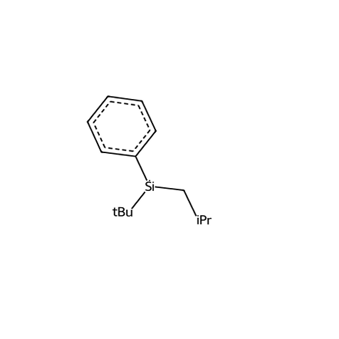 CC(C)C[Si](c1ccccc1)C(C)(C)C